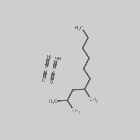 CCCCCCC(C)CC(C)C.N=C=O.N=C=O